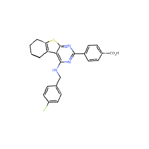 O=C(O)c1ccc(-c2nc(NCc3ccc(F)cc3)c3c4c(sc3n2)CCCC4)cc1